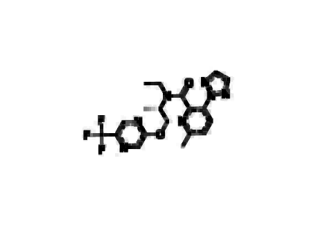 CCN(C(=O)c1nc(C)ccc1-n1nccn1)[C@@H](C)COc1cnc(C(F)(F)F)cn1